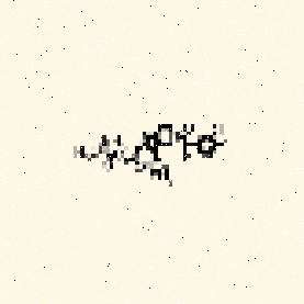 CN(C)C(=O)OCC1Cn2nc3c(c2C(=O)N(C)O1)CN(C(=O)Nc1ccc(F)c(Cl)c1)CC3